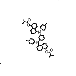 C=C(C)C(=O)Oc1cccc2c(N(c3ccc(C)cc3)c3cccc(N(c4ccc(C)cc4)c4cccc5c(OC(=O)C(=C)C)cccc45)c3)cccc12